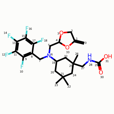 C=C1COC(CN(Cc2c(F)c(F)c(F)c(F)c2F)C2CC(C)(C)CC(C)(CNC(=O)O)C2)O1